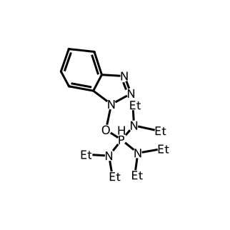 CCN(CC)[PH](On1nnc2ccccc21)(N(CC)CC)N(CC)CC